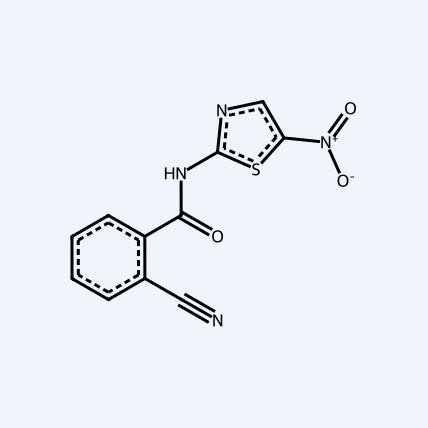 N#Cc1ccccc1C(=O)Nc1ncc([N+](=O)[O-])s1